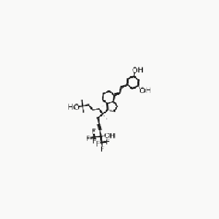 CC(C)(O)CCC[C@](C)(CC#CC(O)(C(F)(F)F)C(F)(F)F)[C@H]1CCC2/C(=C/C=C3C[C@@H](O)C[C@H](O)C3)CCC[C@@]21C